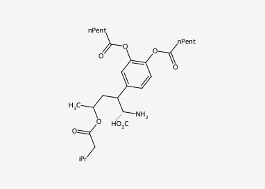 CCCCCC(=O)Oc1ccc(C(CC(C)OC(=O)CC(C)C)[C@H](N)C(=O)O)cc1OC(=O)CCCCC